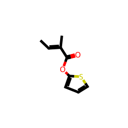 CC=C(C)C(=O)Oc1cccs1